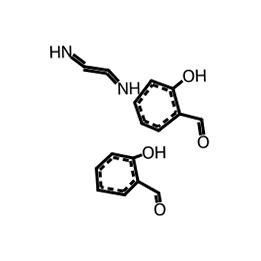 N=C=C=N.O=Cc1ccccc1O.O=Cc1ccccc1O